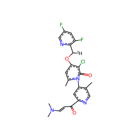 [2H]C(Oc1cc(C)n(-c2cc(C(=O)/C=C/N(C)C)ncc2C)c(=O)c1Cl)c1ncc(F)cc1F